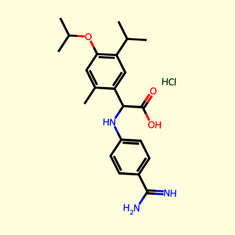 Cc1cc(OC(C)C)c(C(C)C)cc1C(Nc1ccc(C(=N)N)cc1)C(=O)O.Cl